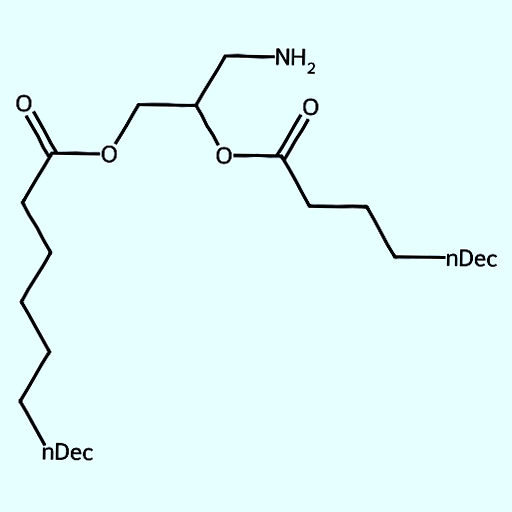 CCCCCCCCCCCCCCCC(=O)OCC(CN)OC(=O)CCCCCCCCCCCCC